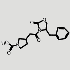 O=C(O)N1CCC(CC(=O)N2C(=O)OCC2Cc2ccccc2)C1